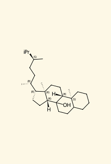 CC(C)[C@@H](C)CC[C@@H](C)[C@H]1CC[C@H]2C3(O)CCC4CCCC[C@]4(C)[C@H]3CC[C@]12C